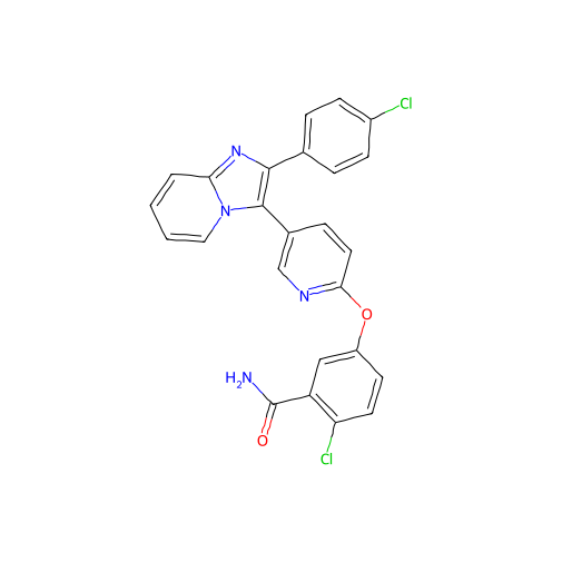 NC(=O)c1cc(Oc2ccc(-c3c(-c4ccc(Cl)cc4)nc4ccccn34)cn2)ccc1Cl